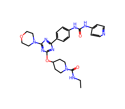 CCNC(=O)N1CCC(Oc2nc(-c3ccc(NC(=O)Nc4ccncc4)cc3)nc(N3CCOCC3)n2)CC1